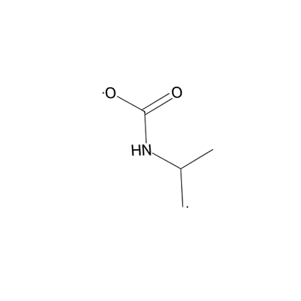 [CH2]C(C)NC([O])=O